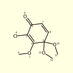 COC1=C(Cl)C(=O)C=CC1(OC)OC